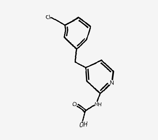 O=C(O)Nc1cc(Cc2cccc(Cl)c2)ccn1